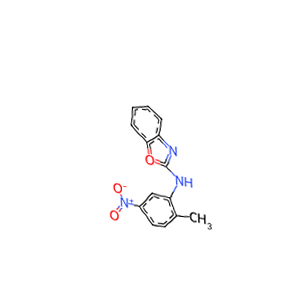 Cc1ccc([N+](=O)[O-])cc1Nc1nc2ccccc2o1